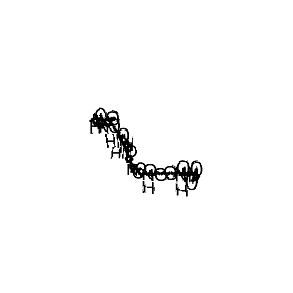 COc1cc2c(cc1OCCCC(=O)Nc1cn(C)c(C(=O)Nc3ccc(-c4cc(C(=O)OC(C)CNC(=O)CCOCCOCCNC(=O)CCN5C(=O)C=CC5=O)n(C)c4)cc3)n1)N=C[C@@H]1CCCN1C2=O